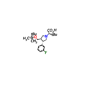 CC(C)(C)[C@H](C(=O)O)N1C[C@H](CO[Si](C)(C)C(C)(C)C)[C@@H](c2cccc(F)c2)C1